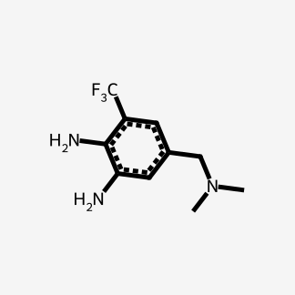 CN(C)Cc1cc(N)c(N)c(C(F)(F)F)c1